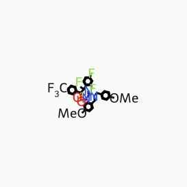 COc1ccc(CN(Cc2ccc(OC)cc2)C2=NC(C)(c3c(F)cc(F)cc3F)C(c3ccc(C(F)(F)F)cc3)S(=O)(=O)N2C)cc1